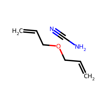 C=CCOCC=C.N#CN